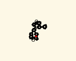 c1ccc(-c2ccc(N(c3ccc(-c4ccc5ccc6oc7ccccc7c6c5c4)c(-c4ccccc4)c3)c3cccc4oc5ccccc5c34)cc2)cc1